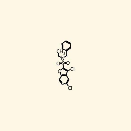 CCN(Cc1ccccc1)S(=O)(=O)c1oc2ccc(Cl)cc2c1Cl